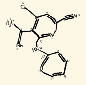 CC(=N)c1c(Cl)cc(C#N)nc1Nc1ccccc1